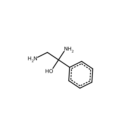 NCC(N)(O)c1ccccc1